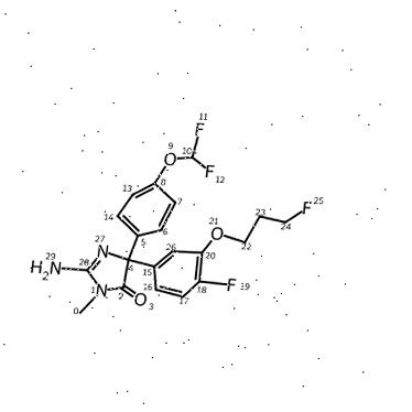 CN1C(=O)C(c2ccc(OC(F)F)cc2)(c2ccc(F)c(OCCCF)c2)N=C1N